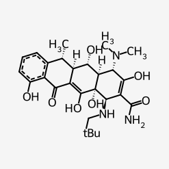 C[C@H]1c2cccc(O)c2C(=O)C2=C(O)[C@@]3(O)[C@@H]([C@@H](O)[C@@H]21)[C@H](N(C)C)C(O)=C(C(N)=O)[C@H]3NCC(C)(C)C